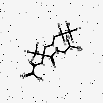 C=C(C)C(=O)OC(OCCC(F)(F)C(F)(F)S)(C(=O)NCC(C)C)C(F)(F)F